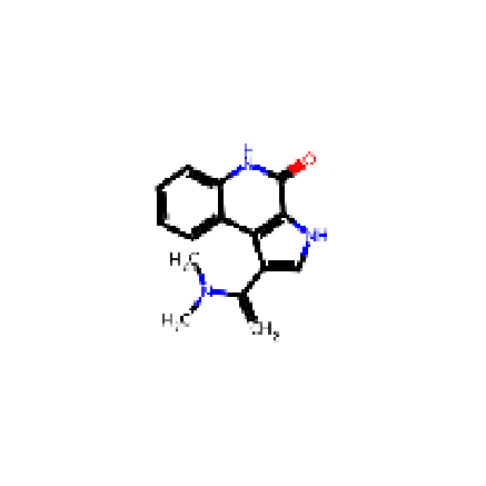 C=C(c1c[nH]c2c(=O)[nH]c3ccccc3c12)N(C)C